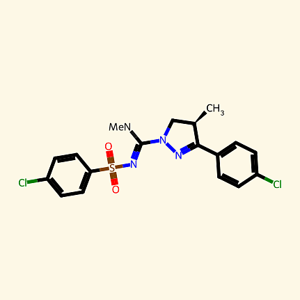 CN/C(=N\S(=O)(=O)c1ccc(Cl)cc1)N1C[C@@H](C)C(c2ccc(Cl)cc2)=N1